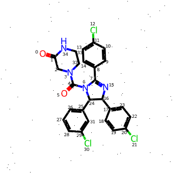 O=C1CN(C(=O)N2C(c3ccc(Cl)cc3)=NC(c3ccc(Cl)cc3)C2c2cccc(Cl)c2)CCN1